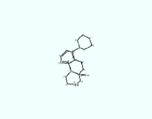 c1cc(C2CCCCC2)c2c(n1)N1CCNC[C@H]1CC2